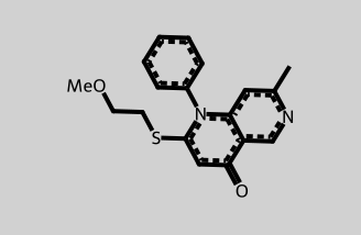 COCCSc1cc(=O)c2cnc(C)cc2n1-c1ccccc1